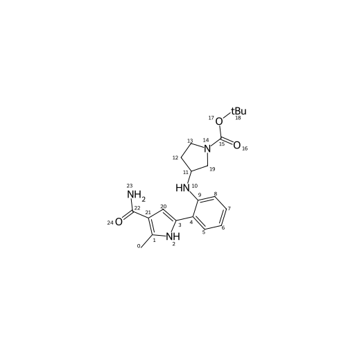 Cc1[nH]c(-c2ccccc2NC2CCN(C(=O)OC(C)(C)C)C2)cc1C(N)=O